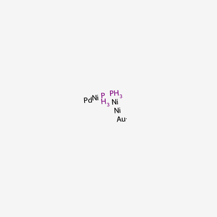 P.P.[Au].[Ni].[Ni].[Ni].[Pd]